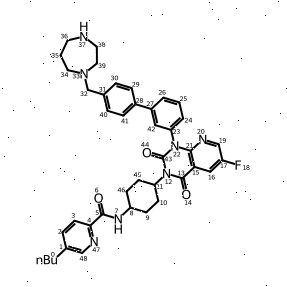 CCCCc1ccc(C(=O)NC2CCC(n3c(=O)c4cc(F)cnc4n(-c4cccc(-c5ccc(CN6CCCNCC6)cc5)c4)c3=O)CC2)nc1